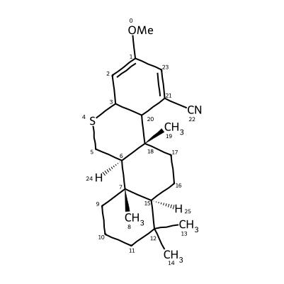 COC1=CC2SC[C@@H]3[C@@]4(C)CCCC(C)(C)[C@@H]4CC[C@@]3(C)C2C(C#N)=C1